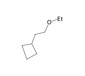 CCOCCC1CCC1